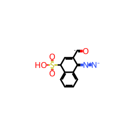 [N-]=[N+]=C1C([C]=O)=CC(S(=O)(=O)O)c2ccccc21